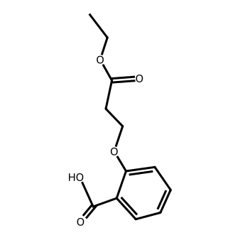 CCOC(=O)CCOc1ccccc1C(=O)O